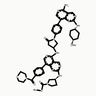 CO[C@H]1CC[C@H](Nc2ncc3c(N)ncc(-c4ccc(N5CC(Nc6ncc(-c7ccc(C(=O)N8CCOCC8)cc7)c7nc(N[C@H]8CCN(C(=O)OC(C)(C)C)C8)ncc67)CC5=O)cc4)c3n2)CC1